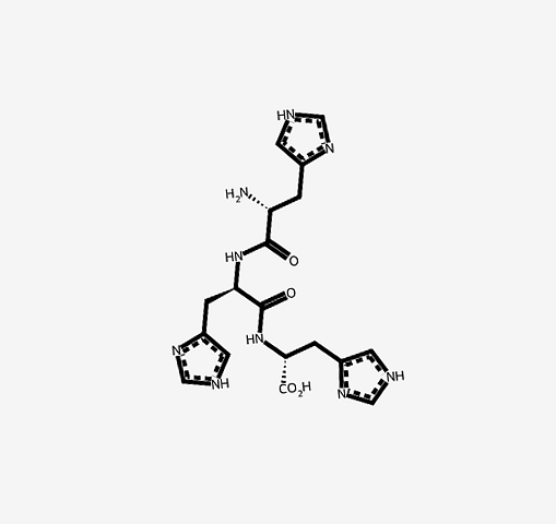 N[C@H](Cc1c[nH]cn1)C(=O)N[C@H](Cc1c[nH]cn1)C(=O)N[C@H](Cc1c[nH]cn1)C(=O)O